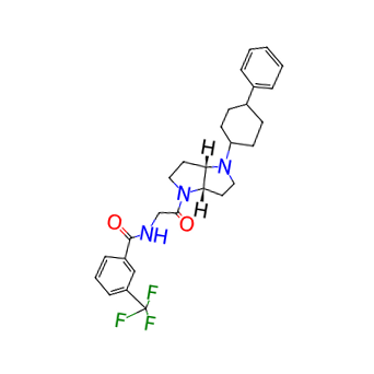 O=C(NCC(=O)N1CC[C@H]2[C@@H]1CCN2C1CCC(c2ccccc2)CC1)c1cccc(C(F)(F)F)c1